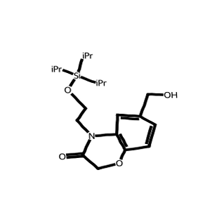 CC(C)[Si](OCCN1C(=O)COc2ccc(CO)cc21)(C(C)C)C(C)C